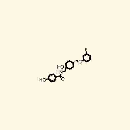 O=C(NC[C@]1(O)CC[C@@H](COc2cccc(F)c2)CC1)c1ccc(O)cc1